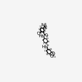 O=C(N[C@H]1CC[C@H](CNC2=CC3OCOC3C=C2)CC1)c1cc(C(F)(F)F)ccc1Cl